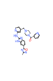 Cc1noc(-c2ccc3nc(Nc4cc(CN5CCN(C(=O)c6cccnc6)CC5)ccn4)[nH]c3c2)n1